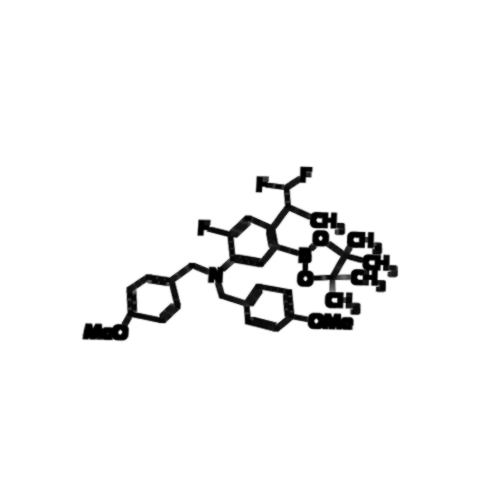 COc1ccc(CN(Cc2ccc(OC)cc2)c2cc(B3OC(C)(C)C(C)(C)O3)c(C(C)C(F)F)cc2F)cc1